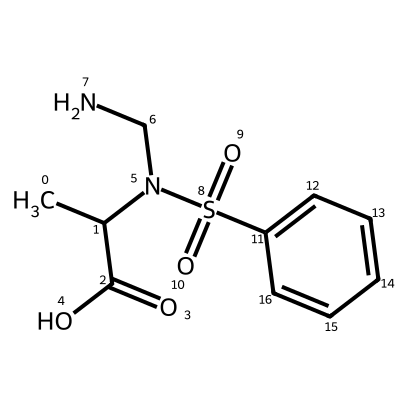 CC(C(=O)O)N(CN)S(=O)(=O)c1ccccc1